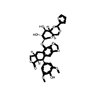 COc1cc([C@@H]2c3cc4c(c(O[C@@H]5O[C@@H]6COC(c7cccs7)O[C@H]6[C@H](O)[C@H]5O)c3C[C@H]3COC(=O)[C@@H]32)OCO4)cc(OC)c1O